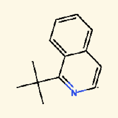 CC(C)(C)c1n[c]cc2ccccc12